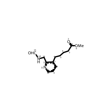 COC(=O)CCCCc1cccnc1CNC=O